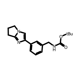 CC(C)(C)OC(=O)NCc1cccc(-c2cn3c(n2)CCC3)c1